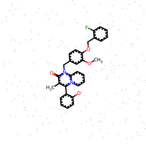 COc1cc(Cn2c(=O)c(C)c(-c3ccccc3[O-])[n+]3ccccc23)ccc1OCc1ccccc1F